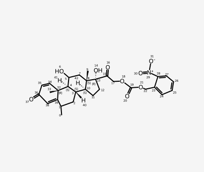 CC1C[C@@H]2[C@H](C(O)C[C@@]3(C)[C@H]2CC[C@]3(O)C(=O)COC(=O)OCc2ccccc2[N+](=O)[O-])[C@@]2(C)C=CC(=O)C=C12